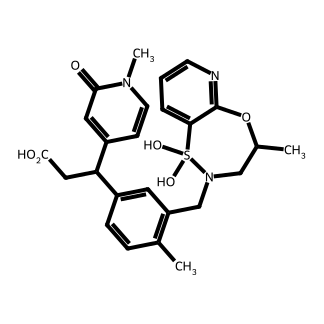 Cc1ccc(C(CC(=O)O)c2ccn(C)c(=O)c2)cc1CN1CC(C)Oc2ncccc2S1(O)O